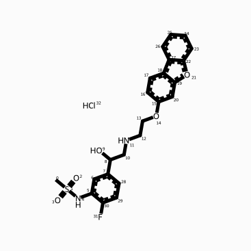 CS(=O)(=O)Nc1cc(C(O)CNCCOc2ccc3c(c2)oc2ccccc23)ccc1F.Cl